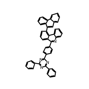 c1ccc(-c2nc(-c3ccccc3)nc(-c3ccc(-c4nc5ccccc5c5c(-c6cc7ccccc7c7ccccc67)cccc45)cc3)n2)cc1